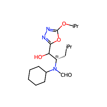 CC(C)C[C@@H](C(O)c1nnc(OC(C)C)o1)N(C=O)C1CCCCC1